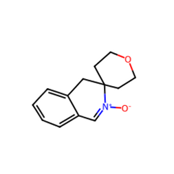 [O-][N+]1=Cc2ccccc2CC12CCOCC2